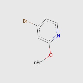 CCCOc1cc(Br)ccn1